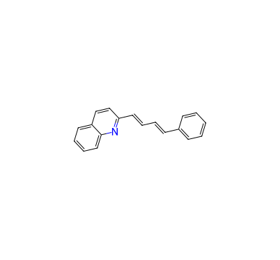 C(C=Cc1ccc2ccccc2n1)=Cc1ccccc1